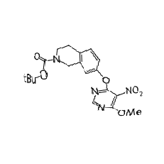 COc1ncnc(Oc2ccc3c(c2)CN(C(=O)OC(C)(C)C)CC3)c1[N+](=O)[O-]